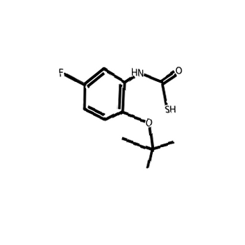 CC(C)(C)Oc1ccc(F)cc1NC(=O)S